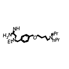 CCCN(CCC)CCCCOCc1ccc(CN(CC)CC(=N)N)cc1